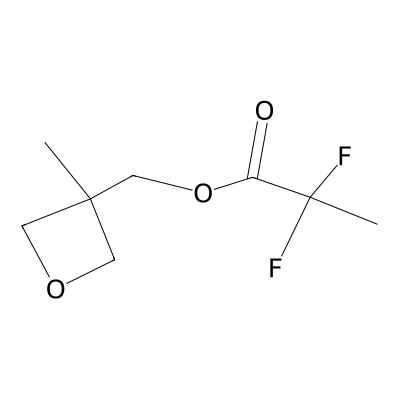 CC1(COC(=O)C(C)(F)F)COC1